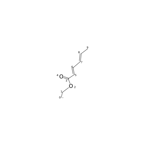 [CH2]COC(=O)C=CC=CC